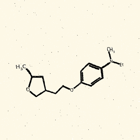 CCN(C)c1ccc(OCCC2COC(C)C2)cc1